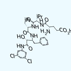 CC(C)C[C@H](NC(=O)[C@@H](NC(=O)[C@@H](N)CCC(=O)O)C(C)C)C(=O)N[C@@H](Cc1ccccc1)[C@@H](O)C(=O)Nc1cc(Cl)cc(Cl)c1